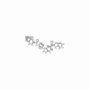 O=C(Cc1nnc(C2CCc3cnc(NC4Cc5ccccc5C4)nc32)o1)N1CCc2nn[nH]c2C1